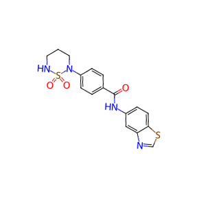 O=C(Nc1ccc2scnc2c1)c1ccc(N2CCCNS2(=O)=O)cc1